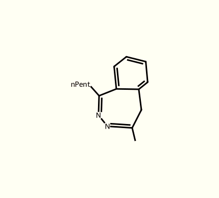 CCCCCC1=NN=C(C)Cc2ccccc21